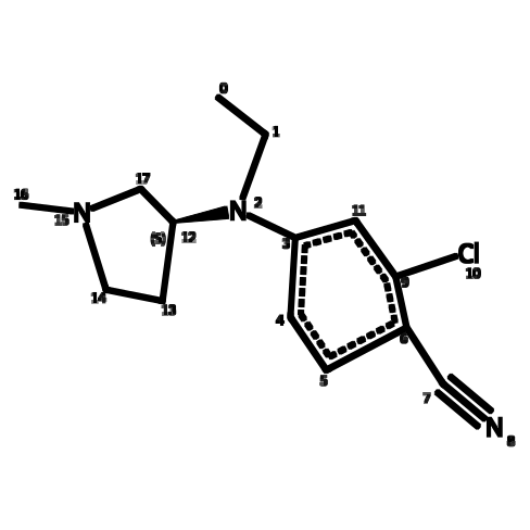 CCN(c1ccc(C#N)c(Cl)c1)[C@H]1CCN(C)C1